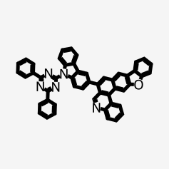 c1ccc(-c2nc(-c3ccccc3)nc(-n3c4ccccc4c4cc(-c5cc6cc7c(cc6c6c5cnc5ccccc56)oc5ccccc57)ccc43)n2)cc1